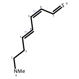 CNCC/C=C/C=C\C=S